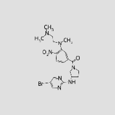 CN(C)CCN(C)c1cc(C(=O)N2CC[C@H](Nc3ncc(Br)cn3)C2)ccc1[N+](=O)[O-]